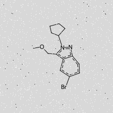 COCc1c2cc(Br)ccc2nn1C1CCCC1